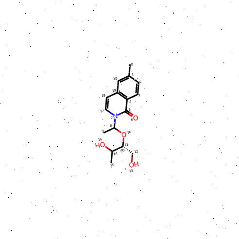 Cc1ccc2c(=O)n(C(C)O[C@H](CO)C(C)O)ccc2c1